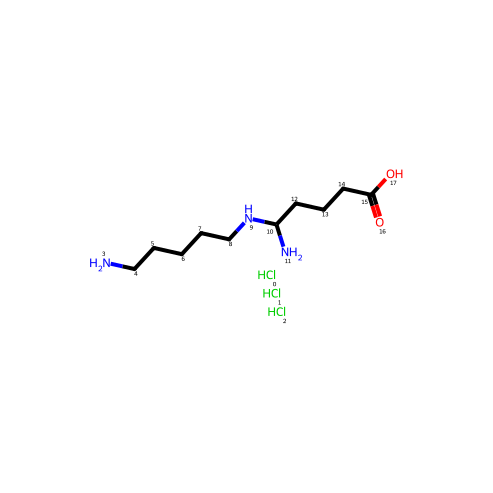 Cl.Cl.Cl.NCCCCCNC(N)CCCC(=O)O